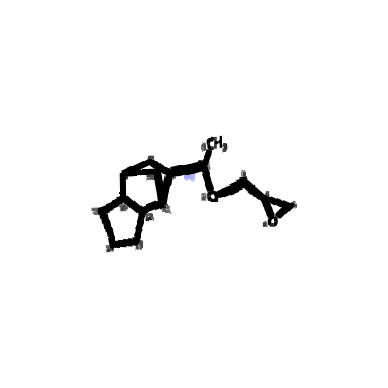 C/C(OCC1CO1)=C1\CC2CC1C1CCCC21